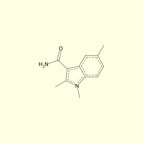 Cc1ccc2c(c1)c(C(N)=O)c(C)n2C